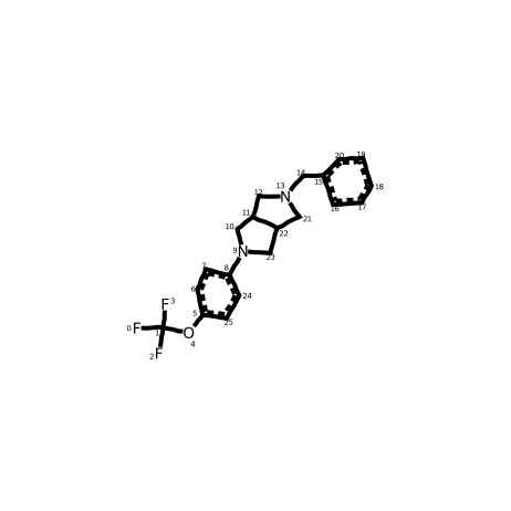 FC(F)(F)Oc1ccc(N2CC3CN(Cc4ccccc4)CC3C2)cc1